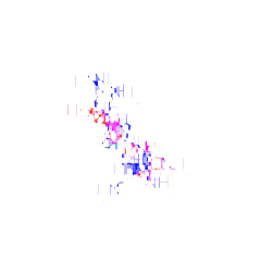 N=C(N)NCC/C=C(\NC(=O)[C@H](CCCCN)NC(=O)C(Cc1cccc(F)c1)NC(=O)[C@@H]1CCCN1C(=O)[C@@H](CCCN)NC(=O)CNC(=O)[C@H](CCCN)NC(=O)[C@@H](NC(=O)[C@@H](N)CCCCN)[C@@H](O)CN)C(=O)O